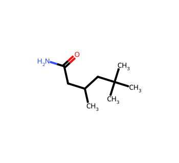 CC(CC(N)=O)CC(C)(C)C